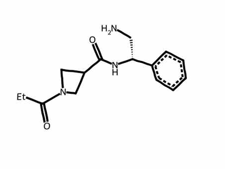 CCC(=O)N1CC(C(=O)N[C@H](CN)c2ccccc2)C1